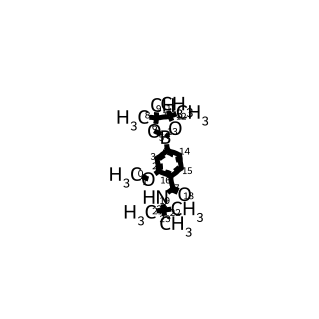 COc1cc(B2OC(C)(C)C(C)(C)O2)ccc1C(=O)NC(C)(C)C